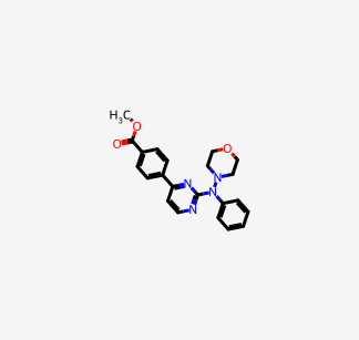 COC(=O)c1ccc(-c2ccnc(N(c3ccccc3)N3CCOCC3)n2)cc1